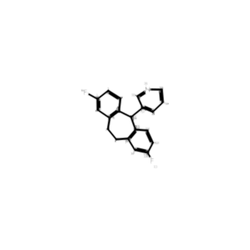 Fc1ccc2c(c1)CCc1cc(F)ccc1C2c1cccnc1